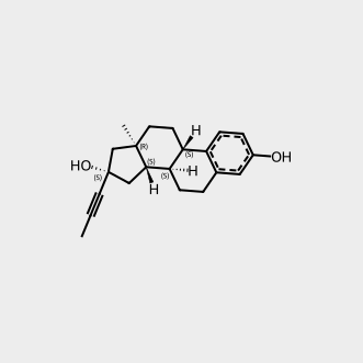 CC#C[C@]1(O)C[C@H]2[C@@H]3CCc4cc(O)ccc4[C@H]3CC[C@]2(C)C1